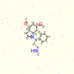 CNCCC(c1ccccc1)n1ccc2c(OC)cc(OC)cc21